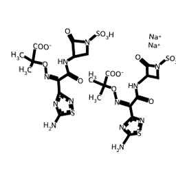 CC(C)(ON=C(C(=O)NC1CN(S(=O)(=O)O)C1=O)c1nsc(N)n1)C(=O)[O-].CC(C)(ON=C(C(=O)NC1CN(S(=O)(=O)O)C1=O)c1nsc(N)n1)C(=O)[O-].[Na+].[Na+]